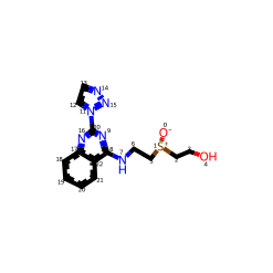 [O-][S+](CCO)CCNc1nc(-n2ccnn2)nc2ccccc12